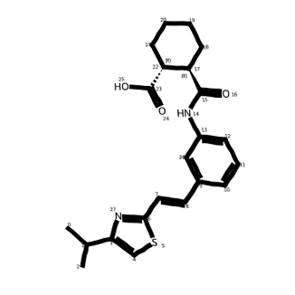 CC(C)c1csc(C=Cc2cccc(NC(=O)[C@@H]3CCCC[C@H]3C(=O)O)c2)n1